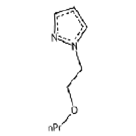 CCCOCCn1cccn1